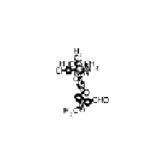 C=CC(=O)n1c2ccc(C=O)cc2c2c(C(=O)N3CCN(C(=O)C[C@@H]4N=C(c5ccc(Cl)cc5)c5c(sc(C)c5C)-n5c(C)nnc54)CC3)cccc21